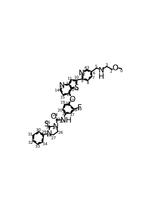 COCCNCc1ccc(-c2cc3nccc(Oc4ccc(NC(=O)N5CCN(c6ccccc6)C5=S)cc4F)c3s2)nc1